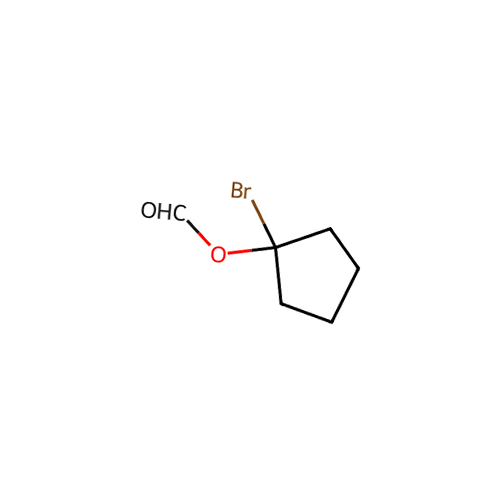 O=COC1(Br)CCCC1